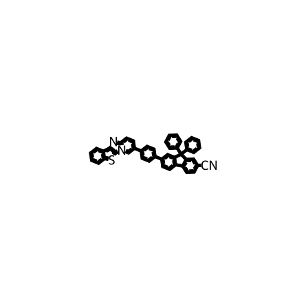 N#Cc1ccc2c(c1)C(c1ccccc1)(c1ccccc1)c1cc(-c3ccc(-c4ccc5nc6c7ccccc7sc6n5c4)cc3)ccc1-2